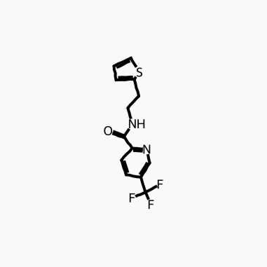 O=C(NCCc1cccs1)c1ccc(C(F)(F)F)cn1